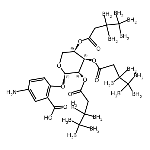 BC(B)(B)C(B)(B)CC(=O)O[C@H]1[C@@H](Oc2ccc(N)cc2C(=O)O)OC[C@@H](OC(=O)CC(B)(B)C(B)(B)B)[C@H]1OC(=O)CC(B)(B)C(B)(B)B